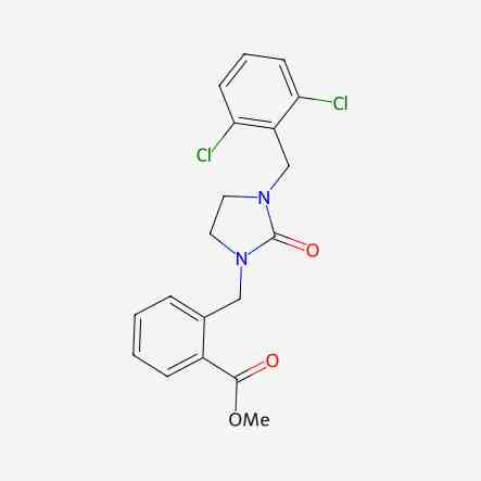 COC(=O)c1ccccc1CN1CCN(Cc2c(Cl)cccc2Cl)C1=O